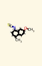 COc1ccc2c(C)ccc(N=C=S)c2c1